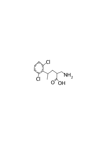 CC(CC(CN)C(=O)O)c1c(Cl)cccc1Cl